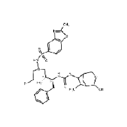 Cc1nc2cc(S(=O)(=O)NN(CCC(C)C)C[C@@H](O)[C@H](Cc3ccccc3)NC(=O)OC3C4COC(O)C(C4)C3C)ccc2o1